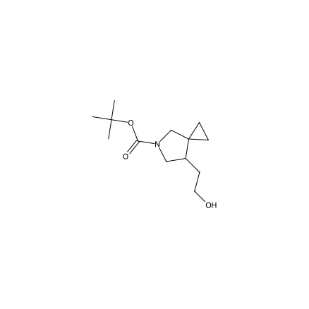 CC(C)(C)OC(=O)N1CC(CCO)C2(CC2)C1